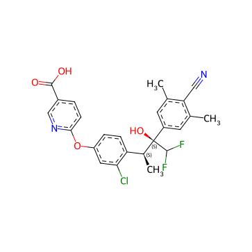 Cc1cc([C@](O)(C(F)F)[C@@H](C)c2ccc(Oc3ccc(C(=O)O)cn3)cc2Cl)cc(C)c1C#N